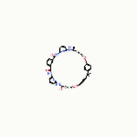 C=C1CCCOc2ccc(cc2)C(C)(C)c2ccc(cc2)OCCCC(=O)Nc2cccc(n2)NC(=O)c2cccc(c2)C(=O)Nc2cccc(n2)N1